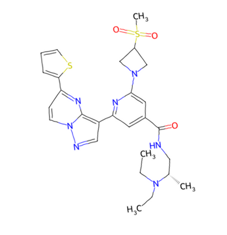 CCN(CC)[C@@H](C)CNC(=O)c1cc(-c2cnn3ccc(-c4cccs4)nc23)nc(N2CC(S(C)(=O)=O)C2)c1